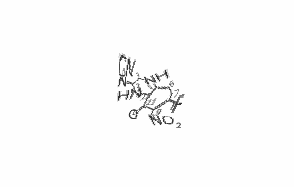 N#CN=C1CNC2=CC(F)=C([N+](=O)[O-])C(=O)C2N1